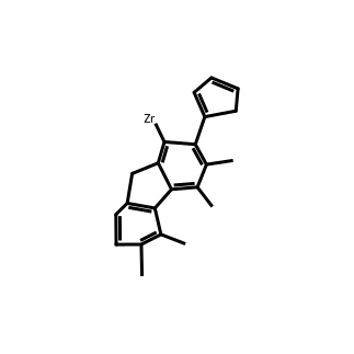 Cc1ccc2c(c1C)-c1c(C)c(C)c(C3=CC=CC3)[c]([Zr])c1C2